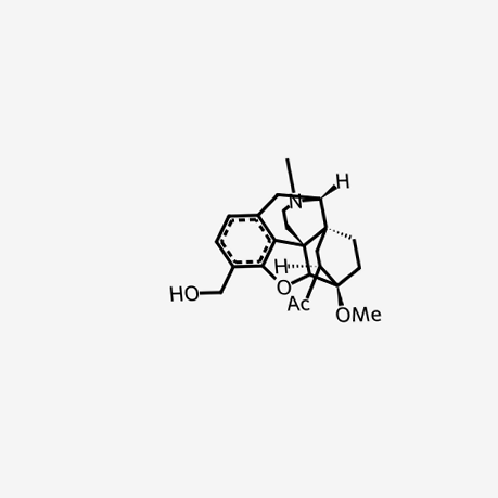 CO[C@]12CC[C@@]3(C[C@@H]1C(C)=O)[C@H]1Cc4ccc(CO)c5c4[C@@]3(CCN1C)C2O5